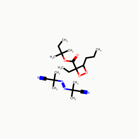 CC(C)(C#N)N=NC(C)(C)C#N.CCCC1OOC1(CC)C(=O)OC(C)(C)CC